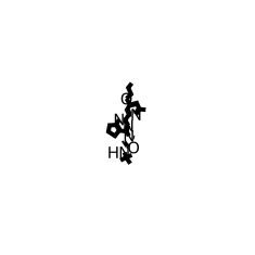 CCCOc1cc(C)nc(-c2nc3c(c(N(C)CC(=O)NC(C)(C)C)n2)CCC3)c1